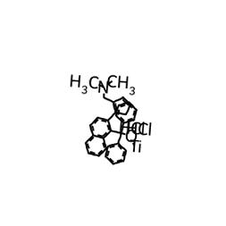 CN(C)CC1=C(c2ccc3ccccc3c2C([O][Ti])(c2ccccc2)c2ccccc2)CC=C1.Cl.Cl